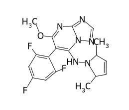 COc1nc2ncnn2c(NN2C(C)C=CC2C)c1-c1c(F)cc(F)cc1F